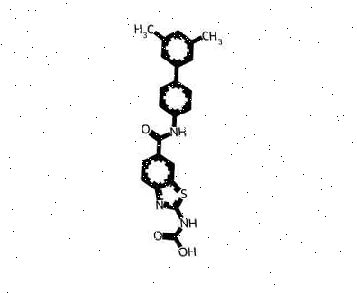 Cc1cc(C)cc(-c2ccc(NC(=O)c3ccc4nc(NC(=O)O)sc4c3)cc2)c1